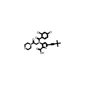 CC(C)(C)C#Cc1cc(N(CC(=O)N2CCOCC2)C(=O)c2ccc(Cl)cc2Cl)c(C(=O)O)s1